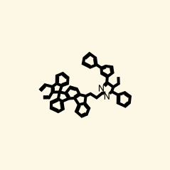 C=CC1=C(C=C)C2(c3ccccc31)c1ccccc1-c1c2ccc2c1-c1ccccc1C2CCC1=NC(c2ccccc2)C(CC)C(c2cccc(-c3ccccc3)c2)=N1